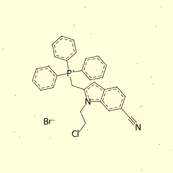 N#Cc1ccc2cc(C[P+](c3ccccc3)(c3ccccc3)c3ccccc3)n(CCCl)c2c1.[Br-]